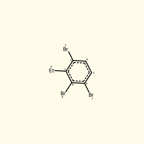 [CH2]Cc1c(Br)ccc(Br)c1Br